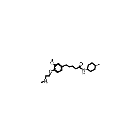 COc1cc(CCCCC(=O)N[C@H]2CC[C@H](C)CC2)ccc1OCCN(C)C